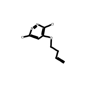 C=CCCOc1cc(Cl)nnc1Cl